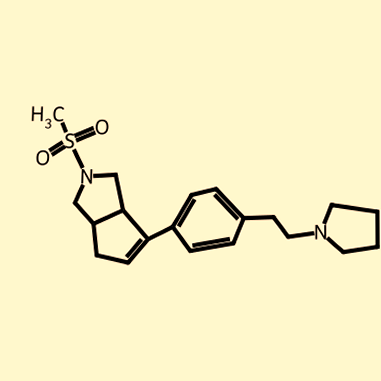 CS(=O)(=O)N1CC2CC=C(c3ccc(CCN4CCCC4)cc3)C2C1